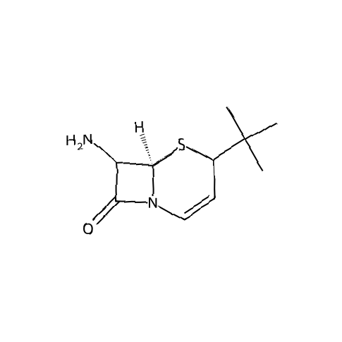 CC(C)(C)C1C=CN2C(=O)C(N)[C@H]2S1